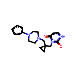 O=c1cc[nH]c(=O)n1CC1(CN2CCN(c3ccccc3)CC2)CC1